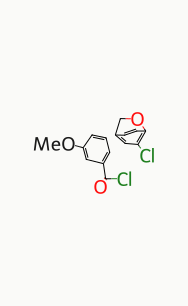 COc1cccc(C(=O)Cl)c1.Clc1cc2ccc1OC2